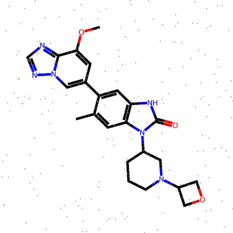 COc1cc(-c2cc3[nH]c(=O)n(C4CCCN(C5COC5)C4)c3cc2C)cn2ncnc12